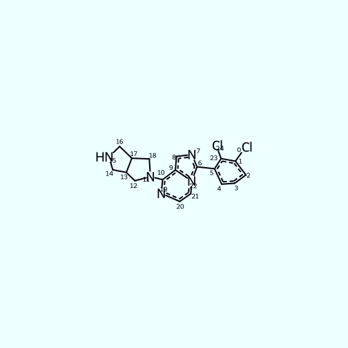 Clc1cccc(-c2ncc3c(N4CC5CNCC5C4)nccn23)c1Cl